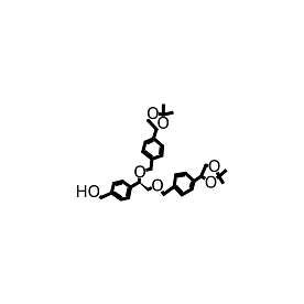 CC1(C)OCC(c2ccc(COC[C@H](OCc3ccc(C4COC(C)(C)O4)cc3)c3ccc(CO)cc3)cc2)O1